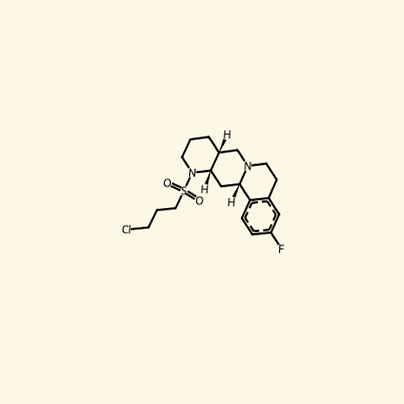 O=S(=O)(CCCCl)N1CCC[C@@H]2CN3CCc4cc(F)ccc4[C@@H]3C[C@@H]21